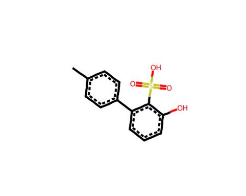 Cc1ccc(-c2cccc(O)c2S(=O)(=O)O)cc1